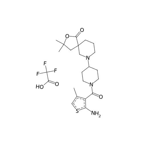 Cc1csc(N)c1C(=O)N1CCC(N2CCCC3(C2)CC(C)(C)OC3=O)CC1.O=C(O)C(F)(F)F